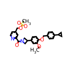 COc1cc(C2CN(C(=O)c3cc(COS(C)(=O)=O)ccn3)C2)ccc1OCc1ccc(C2CC2)cc1